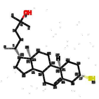 CC(CCC(C)(C)O)[C@H]1CCC2C3CC=C4C[C@@H](S)CC[C@@H]4C3CC[C@@]21C